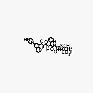 CC1(C)SC2C(NC(=O)C(NC(=O)c3cn4c5c(cc(N6CCNCC6)cc5c3=O)CCC4)c3ccccc3)C(=O)N2C1C(=O)O